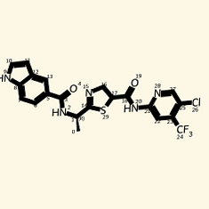 C[C@@H](NC(=O)c1ccc2[nH]ccc2c1)C1=NCC(C(=O)Nc2cc(C(F)(F)F)c(Cl)cn2)S1